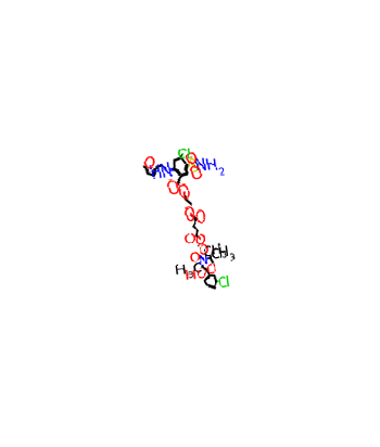 C[C@@H]1N(C(=O)OCOC(=O)CCC(=O)OCCOC(=O)c2cc(S(N)(=O)=O)c(Cl)cc2NCc2ccco2)C(C)(C)CO[C@@]1(O)c1cccc(Cl)c1